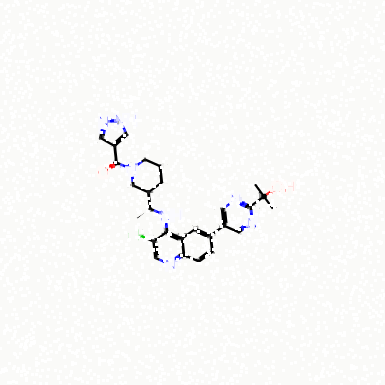 C[C@H](Nc1c(Cl)cnc2ccc(-c3cnc(C(C)(C)O)nc3)cc12)C1CCCN(C(=O)c2cn[nH]c2)C1